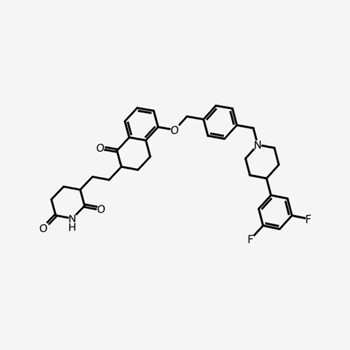 O=C1CCC(CCC2CCc3c(OCc4ccc(CN5CCC(c6cc(F)cc(F)c6)CC5)cc4)cccc3C2=O)C(=O)N1